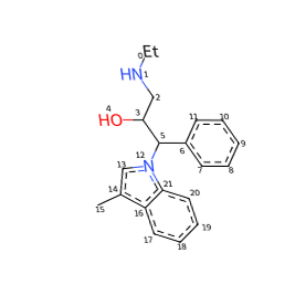 CCNCC(O)C(c1ccccc1)n1cc(C)c2ccccc21